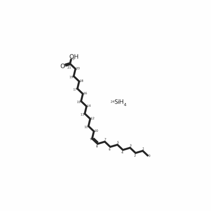 CCCCCCCC/C=C\CCCCCCCCCCCC(=O)O.[SiH4]